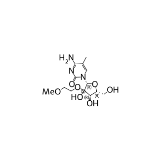 COCCO[C@@]1(O)[C@H](O)[C@@H](CO)O[C@H]1n1cc(C)c(N)nc1=O